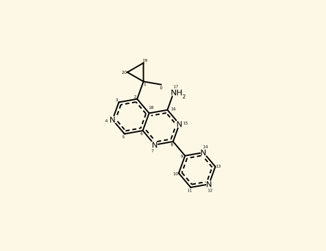 CC1(c2cncc3nc(-c4ccncn4)nc(N)c23)CC1